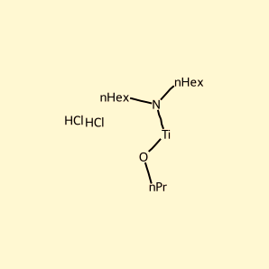 CCCCCC[N](CCCCCC)[Ti][O]CCC.Cl.Cl